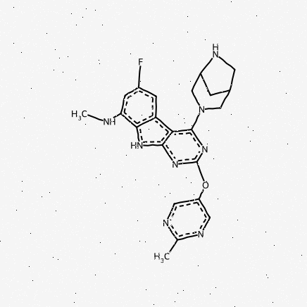 CNc1cc(F)cc2c1[nH]c1nc(Oc3cnc(C)nc3)nc(N3CC4CNC(C4)C3)c12